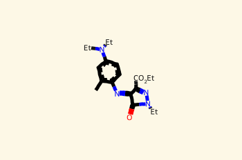 CCOC(=O)C1=NN(CC)C(=O)C1=Nc1ccc(N(CC)CC)cc1C